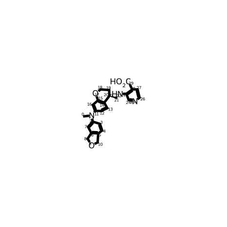 CN(c1ccc2c(c1)COC2)c1ccc2c(c1)OCC[C@H]2CNc1cnccc1C(=O)O